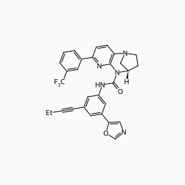 CCC#Cc1cc(NC(=O)N2c3nc(-c4cccc(C(F)(F)F)c4)ccc3N3CC[C@H]2C3)cc(-c2cnco2)c1